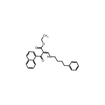 CCOC(=O)/C(=C/NCCCCc1ccccc1)C(=O)c1cccc2ccccc12